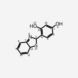 Oc1ccc(C2N=C3C=CC=CC3S2)c(O)c1